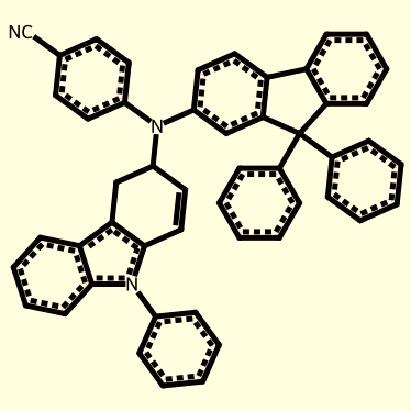 N#Cc1ccc(N(c2ccc3c(c2)C(c2ccccc2)(c2ccccc2)c2ccccc2-3)C2C=Cc3c(c4ccccc4n3-c3ccccc3)C2)cc1